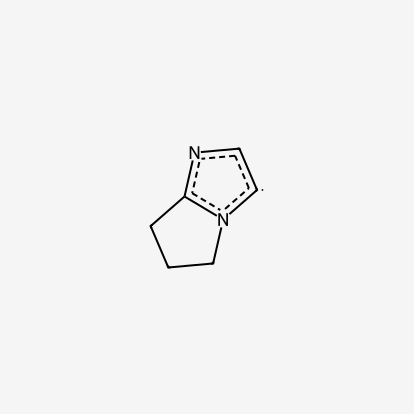 [c]1cnc2n1CCC2